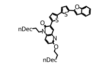 CCCCCCCCCCCCOc1ccc2c(cc(-c3ccc(-c4ccc(-c5cc6ccccc6o5)s4)s3)c(=O)n2CCCCCCCCCCCC)n1